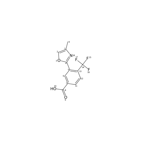 Cc1coc(-c2cc(C(=O)O)ccc2C(F)(F)F)n1